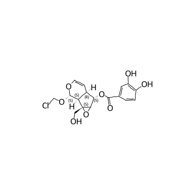 O=C(O[C@@H]1C2O[C@]2(CO)[C@H]2[C@H](OCCl)OC=C[C@H]21)c1ccc(O)c(O)c1